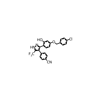 N#Cc1ccc(-c2c(-c3ccc(OCc4ccc(Cl)cc4)cc3O)n[nH]c2C(F)(F)F)cc1